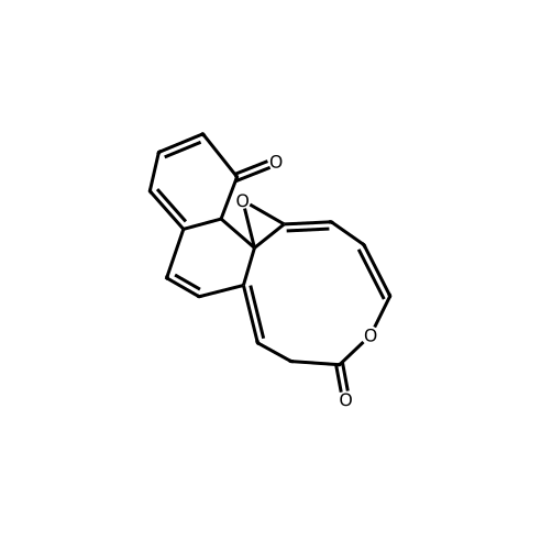 O=C1CC=C2C=CC3=CC=CC(=O)C3C23OC3=CC=CO1